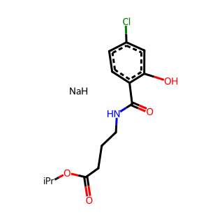 CC(C)OC(=O)CCCNC(=O)c1ccc(Cl)cc1O.[NaH]